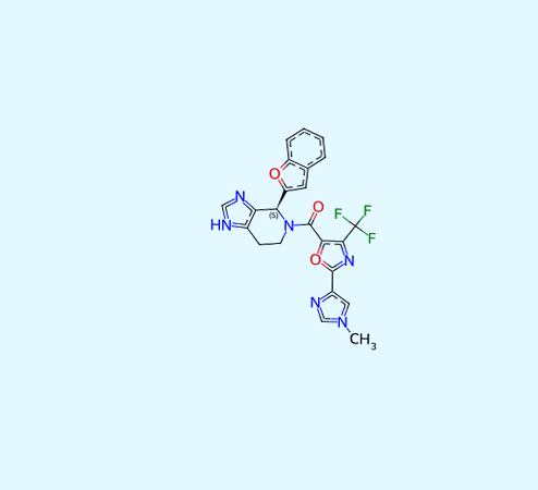 Cn1cnc(-c2nc(C(F)(F)F)c(C(=O)N3CCc4[nH]cnc4[C@H]3c3cc4ccccc4o3)o2)c1